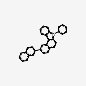 c1ccc(-n2c3ccccc3c3c4cc(-c5ccc6ccccc6c5)ccc4ccc32)cc1